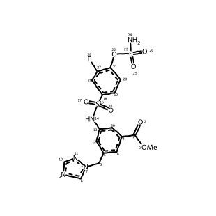 COC(=O)c1cc(Cn2cncn2)cc(NS(=O)(=O)c2ccc(OS(N)(=O)=O)c(F)c2)c1